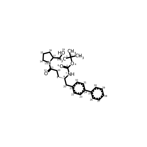 CC(C)(C)OC(=O)N[C@@H](CCC(=O)N1CCCC1CO)Cc1ccc(-c2ccccc2)cc1